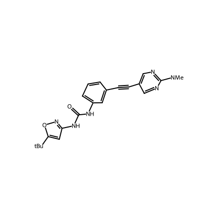 CNc1ncc(C#Cc2cccc(NC(=O)Nc3cc(C(C)(C)C)on3)c2)cn1